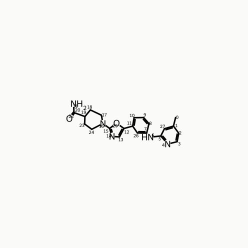 Cc1ccnc(Nc2cccc(-c3cnc(N4CCC(C(N)=O)CC4)o3)c2)c1